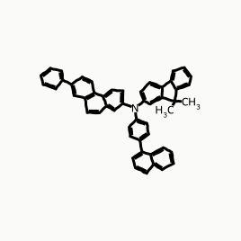 CC1(C)c2ccccc2-c2ccc(N(c3ccc(-c4cccc5ccccc45)cc3)c3ccc4c(ccc5cc(-c6ccccc6)ccc54)c3)cc21